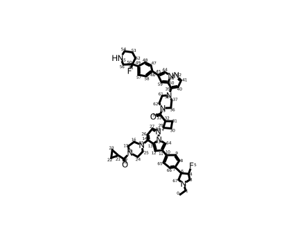 CCN1CC(F)C(c2ccc(-c3cc4c(N5CCN(C(=O)C6CC6)CC5)cc[n+](C5CCC5C(=O)N5CCN(c6ccnn7cc(-c8ccc(C9(F)CCCNC9)cc8)cc67)CC5)n4c3)cc2)C1